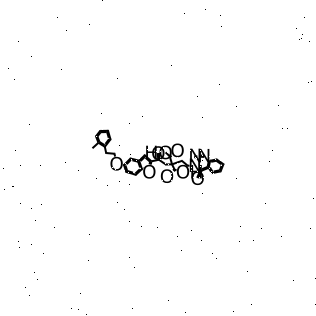 Cc1ccccc1CCOc1ccc2oc(C(=O)CC(CCn3nnc4ccccc4c3=O)(C(=O)O)C(=O)O)cc2c1